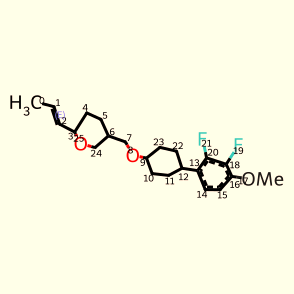 C/C=C/C1CCC(COC2CCC(c3ccc(OC)c(F)c3F)CC2)CO1